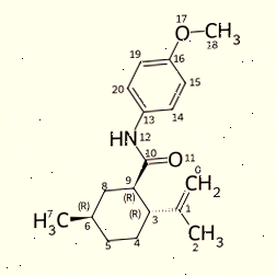 C=C(C)[C@@H]1CC[C@@H](C)C[C@H]1C(=O)Nc1ccc(OC)cc1